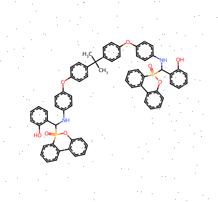 CC(C)(c1ccc(Oc2ccc(NC(c3ccccc3O)P3(=O)Oc4ccccc4-c4ccccc43)cc2)cc1)c1ccc(Oc2ccc(NC(c3ccccc3O)P3(=O)Oc4ccccc4-c4ccccc43)cc2)cc1